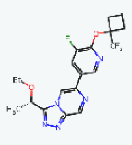 CCO[C@@H](C)c1nnc2cnc(-c3cnc(OC4(C(F)(F)F)CCC4)c(F)c3)cn12